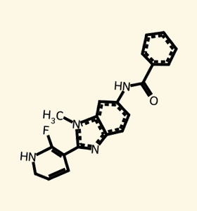 Cn1c(C2=C(F)NCC=C2)nc2ccc(NC(=O)c3ccccc3)cc21